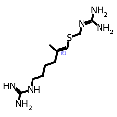 C/C(=C\SCN=C(N)N)CCCCNC(=N)N